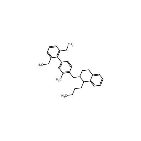 CCCCC1c2ccccc2CCN1Cc1ccc(-c2c(CC)cccc2CC)nc1C